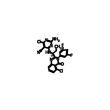 CC[C@H](Nc1nc(N)nc(Cl)c1C#N)c1nc2cccc(Cl)c2c(=O)n1-c1cc(F)cc(F)c1